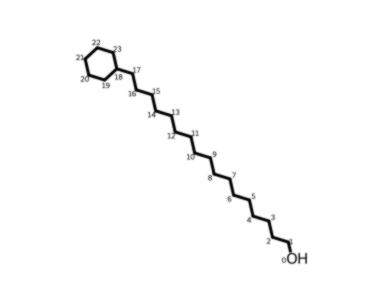 OCCCCCCCCCCCCCCCCCC1CCCCC1